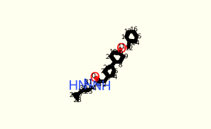 O=C(Cc1ccc(-c2ccc(OCc3ccccc3)cc2)cc1)Nc1cc(C2CC2)[nH]n1